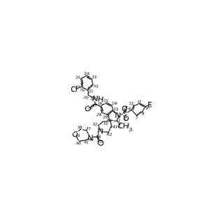 CC1N(S(=O)(=O)c2ccc(F)cc2)c2ccc(C(=O)NCc3ccccc3Cl)cc2C12CCN(C(=O)N1CCOCC1)CC2